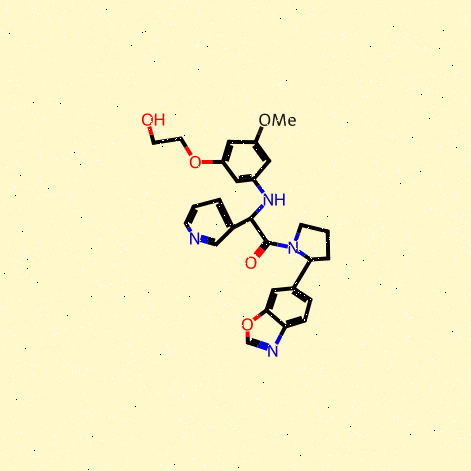 COc1cc(NC(C(=O)N2CCCC2c2ccc3ncoc3c2)c2cccnc2)cc(OCCO)c1